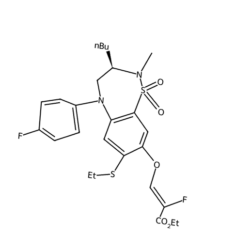 CCCC[C@@H]1CN(c2ccc(F)cc2)c2cc(SCC)c(O/C=C(\F)C(=O)OCC)cc2S(=O)(=O)N1C